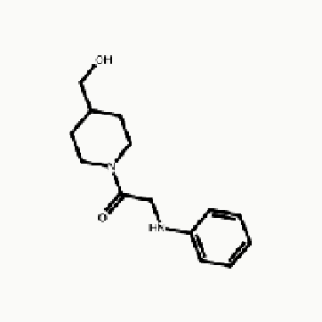 O=C(CNc1ccccc1)N1CCC(CO)CC1